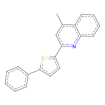 Cc1cc(-c2ccc(-c3ccccc3)s2)nc2ccccc12